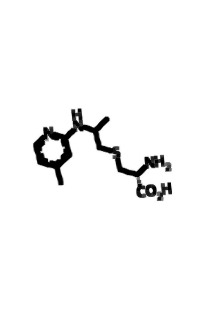 Cc1ccnc(NC(C)CSC[C@H](N)C(=O)O)c1